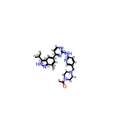 CC(=O)N1CCN(Cc2ccc(Nc3nccc(-c4cc(F)c5n[nH]c(C(C)C)c5c4)n3)nc2)CC1